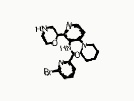 O=C(Nc1c(N2CCCCC2)ccnc1C1CNCCO1)c1cccc(Br)n1